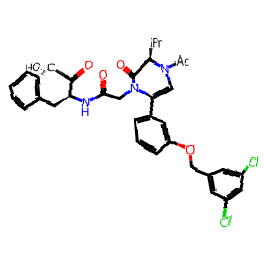 CC(=O)N1C=C(c2cccc(OCc3cc(Cl)cc(Cl)c3)c2)N(CC(=O)N[C@@H](Cc2ccccc2)C(=O)C(=O)O)C(=O)[C@H]1C(C)C